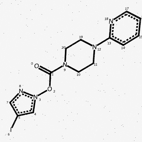 O=C(On1cc(I)cn1)N1CCN(c2ccccn2)CC1